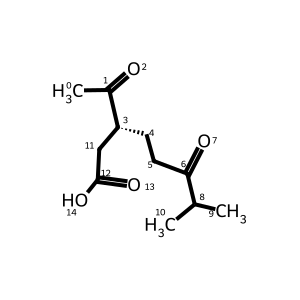 CC(=O)[C@H](CCC(=O)C(C)C)CC(=O)O